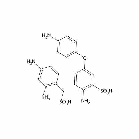 Nc1ccc(CS(=O)(=O)O)c(N)c1.Nc1ccc(Oc2ccc(N)c(S(=O)(=O)O)c2)cc1